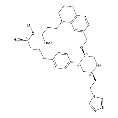 CCO[C@H](C)COCc1ccc([C@H]2C[C@H](CCn3cnnc3)NC[C@@H]2OCc2ccc3c(c2)N(CCCOC)CCO3)cc1